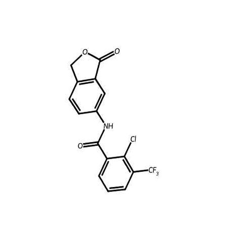 O=C1OCc2ccc(NC(=O)c3cccc(C(F)(F)F)c3Cl)cc21